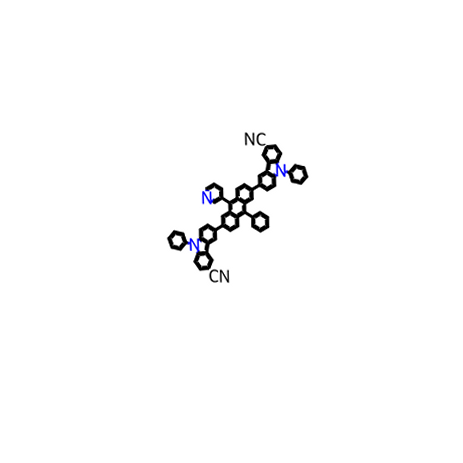 N#Cc1ccc2c(c1)c1cc(-c3ccc4c(-c5cccnc5)c5cc(-c6ccc7c(c6)c6cc(C#N)ccc6n7-c6ccccc6)ccc5c(-c5ccccc5)c4c3)ccc1n2-c1ccccc1